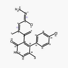 C=C(/C(C)=C\C(Cl)=N/N)c1c(-c2ccc(Cl)cc2)c(C)n[nH]c1=O